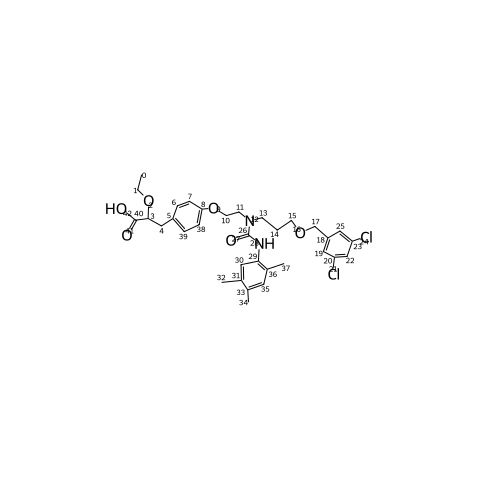 CCOC(Cc1ccc(OCCN(CCCOCc2cc(Cl)cc(Cl)c2)C(=O)Nc2cc(C)c(C)cc2C)cc1)C(=O)O